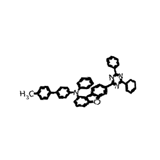 Cc1ccc(-c2ccc(N(c3ccccc3)c3cccc4oc5cc(-c6nc(C7=CC=CCC7)nc(-c7ccccc7)n6)ccc5c34)cc2)cc1